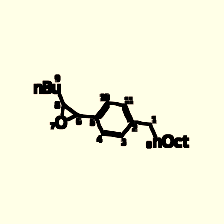 CCCCCCCCCc1ccc(C2OC2CCCC)cc1